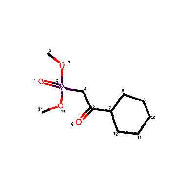 COP(=O)(CC(=O)C1CCCCC1)OC